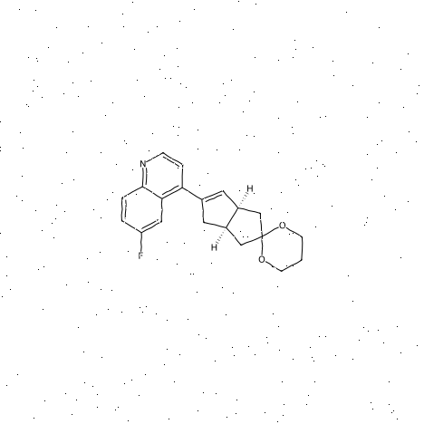 Fc1ccc2nccc(C3=C[C@H]4CC5(C[C@H]4C3)OCCCO5)c2c1